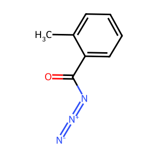 Cc1ccccc1C(=O)N=[N+]=[N-]